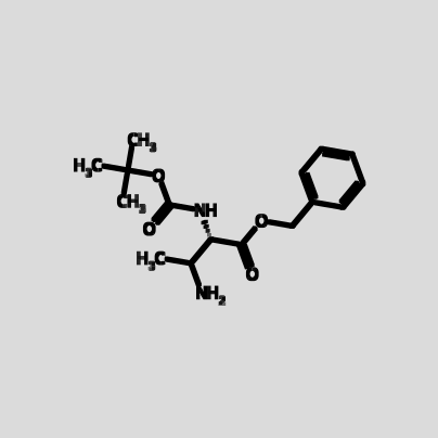 CC(N)[C@H](NC(=O)OC(C)(C)C)C(=O)OCc1ccccc1